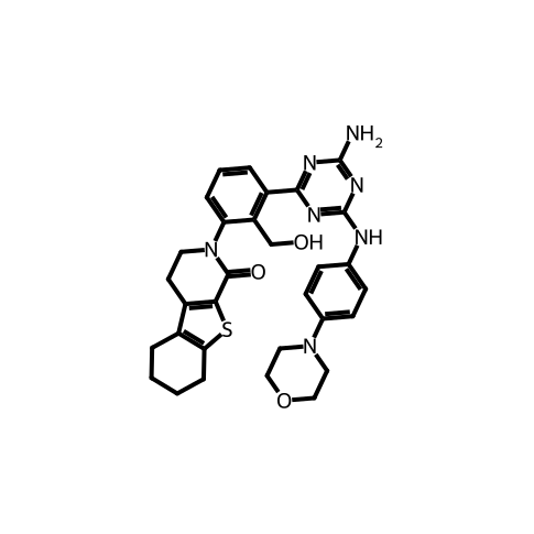 Nc1nc(Nc2ccc(N3CCOCC3)cc2)nc(-c2cccc(N3CCc4c(sc5c4CCCC5)C3=O)c2CO)n1